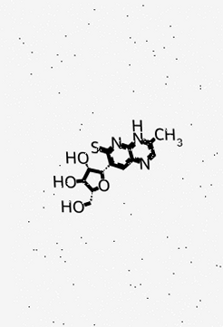 Cc1cnc2cc([C@@H]3O[C@H](CO)C(O)[C@@H]3O)c(=S)nc-2[nH]1